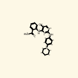 CNC(=O)c1ccccc1Nc1nc(Nc2ccc(N3CCCCC3)cc2)ncc1Cl